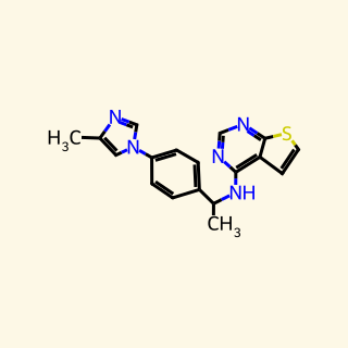 Cc1cn(-c2ccc(C(C)Nc3ncnc4sccc34)cc2)cn1